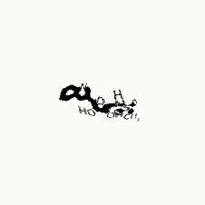 CCS(=O)(=O)Nc1oc(-c2cnc3ccccc3c2)c(O)c1O